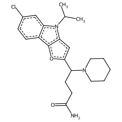 CC(C)n1c2cc(Cl)ccc2c2oc(C(CCC(N)=O)N3CCCCC3)cc21